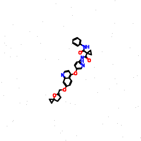 O=C(Nc1ccccc1)C1(C(=O)Nc2ccc(Oc3ccnc4cc(OC[C@H]5CCC6(CC6)O5)ccc34)cn2)CC1